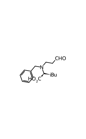 CC[C@H](C)[C@@H](C(=O)O)N(CCC=O)Cc1ccccc1